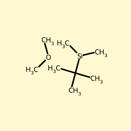 COC.C[Si](C)C(C)(C)C